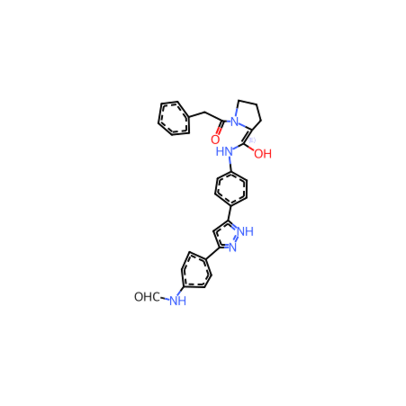 O=CNc1ccc(-c2cc(-c3ccc(N/C(O)=C4/CCCN4C(=O)Cc4ccccc4)cc3)[nH]n2)cc1